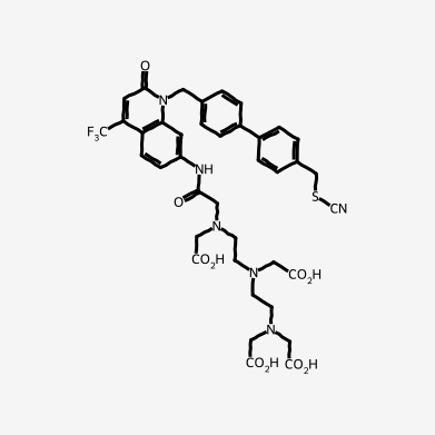 N#CSCc1ccc(-c2ccc(Cn3c(=O)cc(C(F)(F)F)c4ccc(NC(=O)CN(CCN(CCN(CC(=O)O)CC(=O)O)CC(=O)O)CC(=O)O)cc43)cc2)cc1